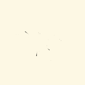 CNC(=O)[C@@H]1[C@@H](OC(=O)c2ccccc2)[C@@H](O)[C@H](O)[C@@H](CO)N1Cc1ccccc1